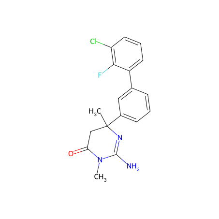 CN1C(=O)CC(C)(c2cccc(-c3cccc(Cl)c3F)c2)N=C1N